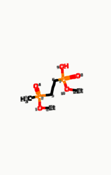 CCOP(C)(=O)CCP(=O)(O)OCC